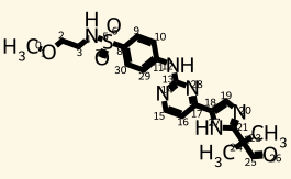 COCCNS(=O)(=O)c1ccc(Nc2nccc(-c3cnc(C(C)(C)C=O)[nH]3)n2)cc1